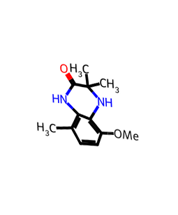 COc1ccc(C)c2c1NC(C)(C)C(=O)N2